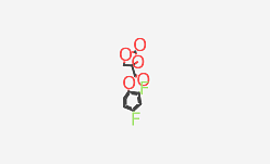 O=C1OCC(C(=O)Oc2ccc(F)cc2F)O1